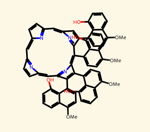 COc1ccc(C2=CC3=CC4=NC(=CC5=NC(=CC6=NC(=C(c7ccc(OC)c8cccc(O)c78)C2=N3)C(c2ccc(OC)c3cccc(O)c23)=C6c2ccc(OC)c3cccc(O)c23)C=C5)C=C4)c2c(O)cccc12